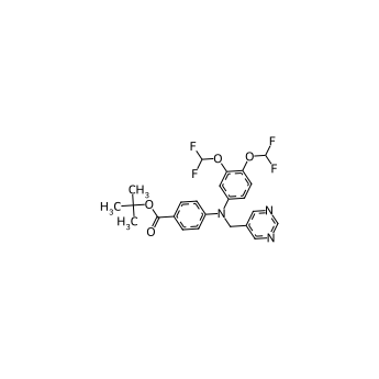 CC(C)(C)OC(=O)c1ccc(N(Cc2cncnc2)c2ccc(OC(F)F)c(OC(F)F)c2)cc1